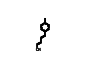 Cc1ccc(C=CC=CC#N)cc1